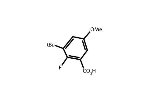 COc1cc(C(=O)O)c(F)c(C(C)(C)C)c1